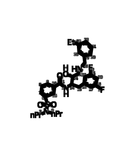 CCCN(CCC)S(=O)(=O)c1cccc(C(=O)NC(Cc2cc(F)cc(F)c2)C(O)CNCc2cccc(CC)c2)c1